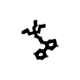 C=CC[Si](CC=C)(CC=C)CC=Cc1ccccc1-c1ccccc1